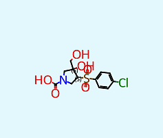 O=C(O)N1C[C@H](S(=O)(=O)c2ccc(Cl)cc2)[C@@](O)(CO)C1